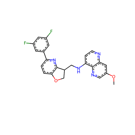 COc1cnc2c(NCC3COc4ccc(-c5cc(F)cc(F)c5)nc43)ccnc2c1